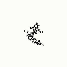 CCc1nc2ccc(C3CCN(S(C)(=O)=O)CC3)nn2c1CNc1nc(-c2ccc(F)cc2C#N)c(CO)s1